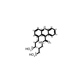 O=C(NCCCS(=O)(=O)O)c1c2ccccc2nc2cccc(CCCS(=O)(=O)O)c12